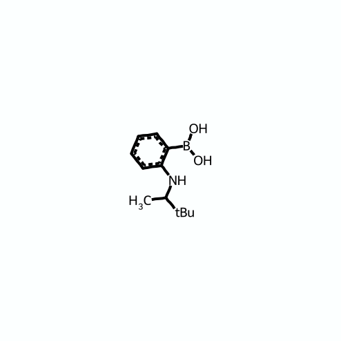 CC(Nc1ccccc1B(O)O)C(C)(C)C